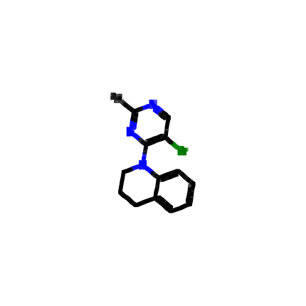 [2H]c1ncc(Br)c(N2CCCc3ccccc32)n1